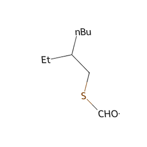 CCCCC(CC)CS[C]=O